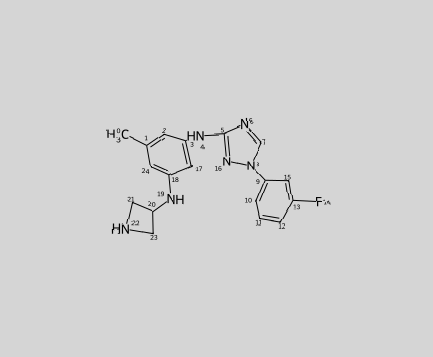 Cc1cc(Nc2ncn(-c3cccc(F)c3)n2)cc(NC2CNC2)c1